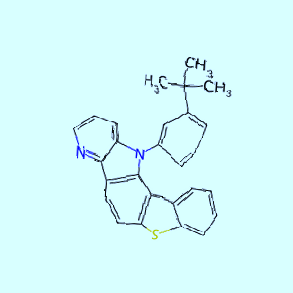 CC(C)(C)c1cccc(-n2c3cccnc3c3ccc4sc5ccccc5c4c32)c1